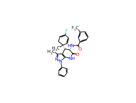 Cc1nn(-c2ccccc2)c2c1[C@H](C1(C)C=CC(F)=CC1)[C@H](NC(=O)c1cccc(C(F)(F)F)c1)C(=O)N2